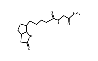 CNC(=O)CNC(=O)CCCCC1SCC2CC(=O)NC21